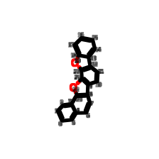 c1ccc2c(c1)ccc1c3ccc4c5ccccc5oc4c3oc21